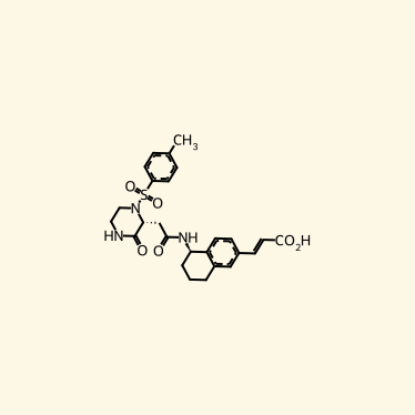 Cc1ccc(S(=O)(=O)N2CCNC(=O)[C@H]2CC(=O)N[C@@H]2CCCc3cc(/C=C/C(=O)O)ccc32)cc1